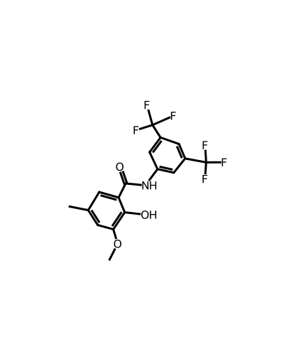 COc1cc(C)cc(C(=O)Nc2cc(C(F)(F)F)cc(C(F)(F)F)c2)c1O